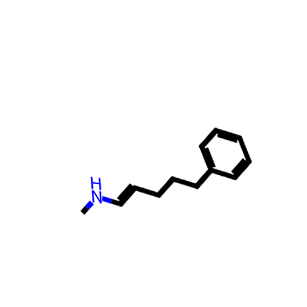 CN/C=C/CCCc1ccccc1